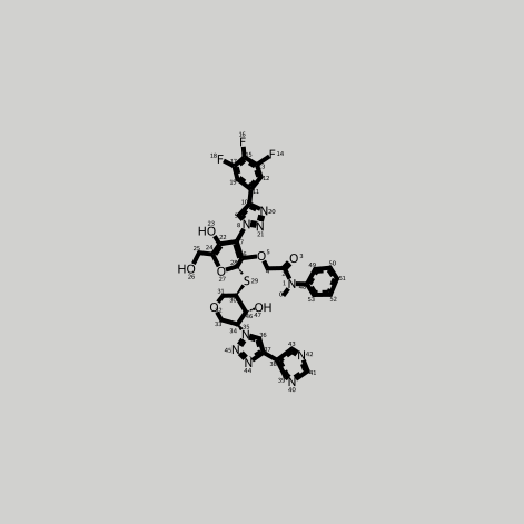 CN(C(=O)COC1=C(n2cc(-c3cc(F)c(F)c(F)c3)nn2)C(O)=C(CO)O[C@H]1S[C@@H]1COC[C@H](n2cc(-c3cncnc3)nn2)[C@H]1O)c1ccccc1